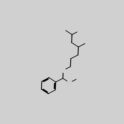 COC(OCCCC(C)CC(C)Cl)c1ccccc1